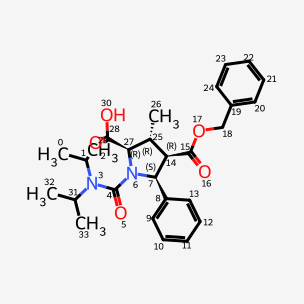 CC(C)N(C(=O)N1[C@H](c2ccccc2)[C@H](C(=O)OCc2ccccc2)[C@@H](C)[C@@H]1C(=O)O)C(C)C